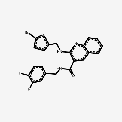 O=C(NCc1ccc(F)c(F)c1)c1cc2ccccc2nc1NCc1ccc(Br)s1